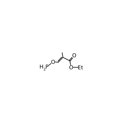 CCOC(=O)C(C)=COP